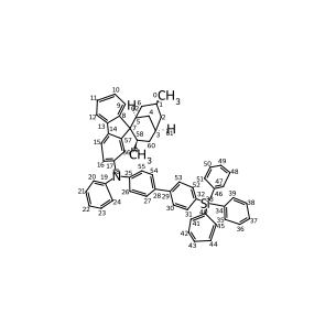 C[C@H]1C[C@@H]2C[C@H](C1)C1(c3ccccc3-c3ccc(N(c4ccccc4)c4ccc(-c5ccc([Si](c6ccccc6)(c6ccccc6)c6ccccc6)cc5)cc4)cc31)[C@H](C)C2